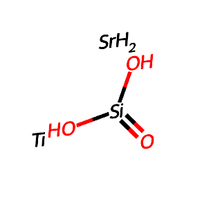 O=[Si](O)O.[SrH2].[Ti]